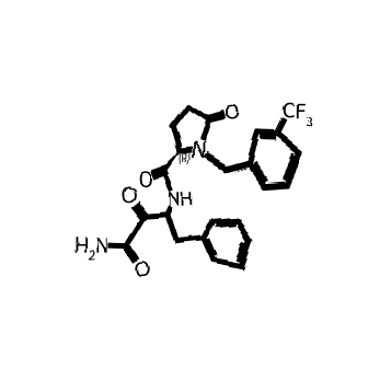 NC(=O)C(=O)C(Cc1ccccc1)NC(=O)[C@H]1CCC(=O)N1Cc1cccc(C(F)(F)F)c1